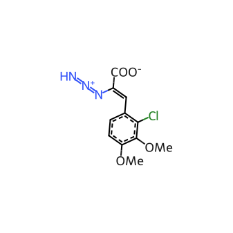 COc1ccc(/C=C(\N=[N+]=N)C(=O)[O-])c(Cl)c1OC